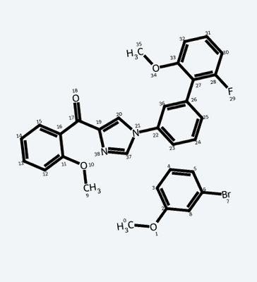 COc1cccc(Br)c1.COc1ccccc1C(=O)c1cn(-c2cccc(-c3c(F)cccc3OC)c2)cn1